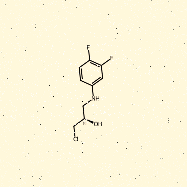 O[C@@H](CCl)CNc1ccc(F)c(F)c1